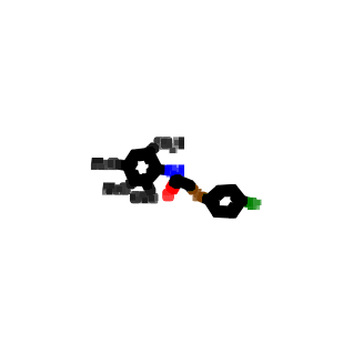 COc1cc(C(=O)O)c(NC(=O)CSc2ccc(Br)cc2)c(OC)c1OC